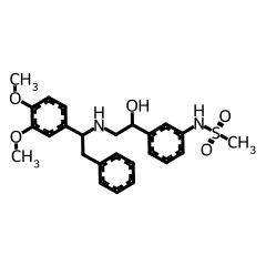 COc1ccc(C(Cc2ccccc2)NCC(O)c2cccc(NS(C)(=O)=O)c2)cc1OC